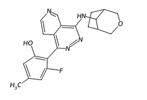 Cc1cc(O)c(-c2nnc(NC3C4CCC3COC4)c3cnccc23)c(F)c1